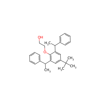 CC(c1ccccc1)c1cc(C(C)(C)C)cc(C(C)c2ccccc2)c1OCCO